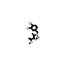 C=C(OC)c1nnn(Cc2ccc(Cl)c(Cl)c2)c1C